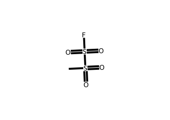 CS(=O)(=O)S(=O)(=O)F